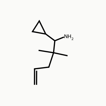 C=CCC(C)(C)C(N)C1CC1